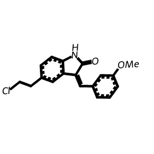 COc1cccc(C=C2C(=O)Nc3ccc(CCCl)cc32)c1